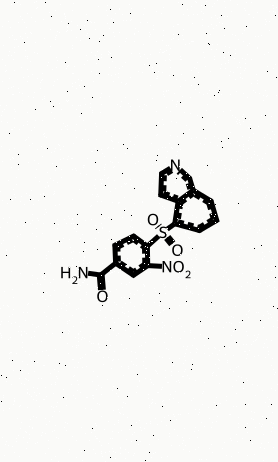 NC(=O)c1ccc(S(=O)(=O)c2cccc3cnccc23)c([N+](=O)[O-])c1